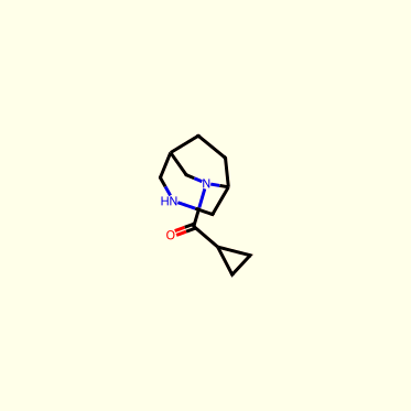 O=C(C1CC1)N1CC2CCC1CNC2